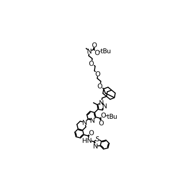 Cc1c(-c2ccc(N3CCc4cccc(C(=O)Nc5nc6ccccc6s5)c4C3)nc2C(=O)OC(C)(C)C)cnn1CC12CC3CC(C1)CC(OCCOCCOCCN(C)C(=O)OC(C)(C)C)(C3)C2